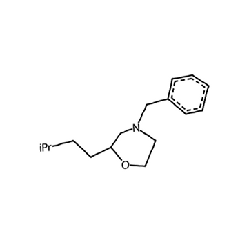 CC(C)CCC1CN(Cc2ccccc2)CCO1